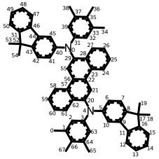 Cc1cc(N(c2ccc3c(c2)-c2ccccc2C3(C)C)c2cc3c4ccccc4c(N(c4cc(C)c(C)c(C)c4)c4ccc5c(c4)-c4ccccc4C5(C)C)cc3c3ccccc23)cc(C)c1C